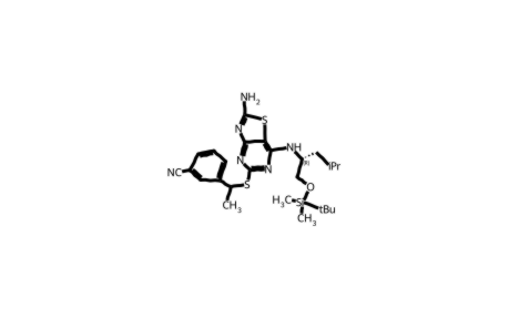 CC(C)C[C@H](CO[Si](C)(C)C(C)(C)C)Nc1nc(SC(C)c2cccc(C#N)c2)nc2nc(N)sc12